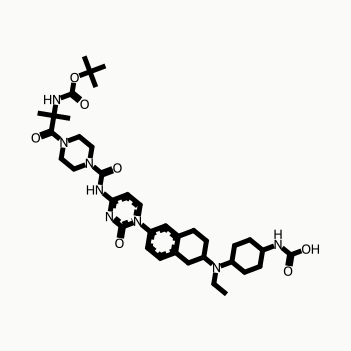 CCN(C1CCC(NC(=O)O)CC1)C1CCc2cc(-n3ccc(NC(=O)N4CCN(C(=O)C(C)(C)NC(=O)OC(C)(C)C)CC4)nc3=O)ccc2C1